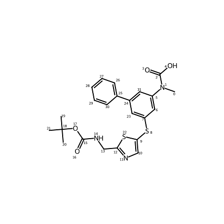 CN(C(=O)O)c1cc(Sc2cnc(CNC(=O)OC(C)(C)C)s2)cc(-c2ccccc2)c1